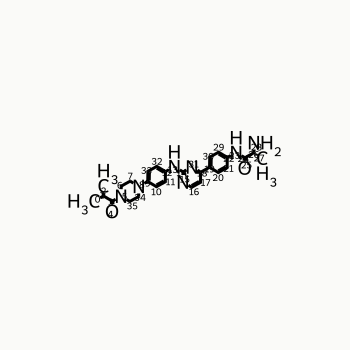 CC(C)C(=O)N1CCN(c2ccc(Nc3nccc(-c4ccc(NC(=O)[C@@H](C)N)cc4)n3)cc2)CC1